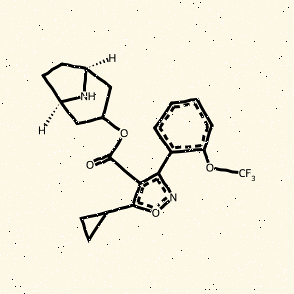 O=C(OC1C[C@H]2CC[C@@H](C1)N2)c1c(-c2ccccc2OC(F)(F)F)noc1C1CC1